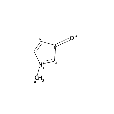 C[N+]1=CC(=O)C=C1